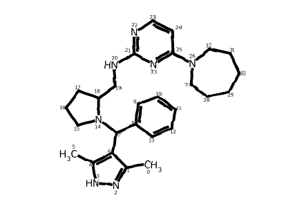 Cc1n[nH]c(C)c1C(c1ccccc1)N1CCCC1CNc1nccc(N2CCCCCC2)n1